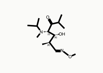 CON=C[C@@H](C)[C@@H](O)[C@@H](C(=O)C(C)C)N(C)C(C)C